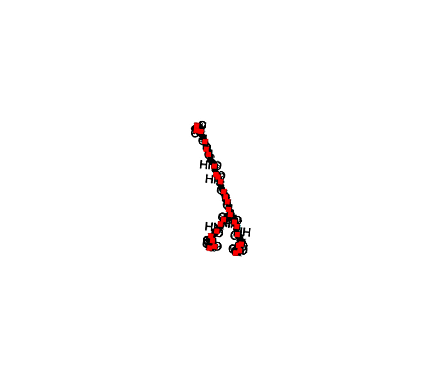 O=C(CCCC(=O)NCCCOCCOCCOCCCN1C(=O)C=CC1=O)NCCCOCCOCCOCCCN(CCC(=O)NCCNC(=O)CCCC(=O)ON1C(=O)CCC1=O)CCC(=O)NCCNC(=O)CCCC(=O)ON1C(=O)CCC1=O